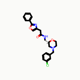 O=C(Cc1coc(-c2ccccc2)n1)NC[C@H]1CN(Cc2cccc(Cl)c2)CCO1